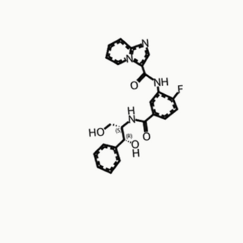 O=C(N[C@@H](CO)[C@H](O)c1ccccc1)c1ccc(F)c(NC(=O)c2cnc3ccccn23)c1